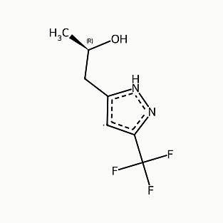 C[C@@H](O)Cc1[c]c(C(F)(F)F)n[nH]1